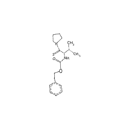 CC(C)C(NC(=O)OCc1ccccc1)C(=S)N1CCCC1